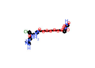 NC1(C(=O)N[C@@H](CCN2CCN(C(=O)CCOCCOCCOCCOCCOCCOc3cccc4c3C(=O)N(C3CCC(=O)NC3=O)C4=O)CC2)c2ccc(Cl)cc2)CCN(c2ncnc3[nH]ccc23)CC1